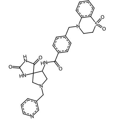 O=C1NC(=O)C2(CN(Cc3cccnc3)CC2NC(=O)c2ccc(CN3CCS(=O)(=O)c4ccccc43)cc2)N1